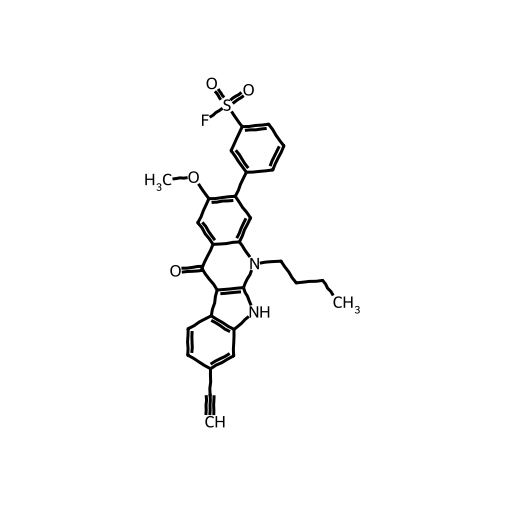 C#Cc1ccc2c(c1)[nH]c1c2c(=O)c2cc(OC)c(-c3cccc(S(=O)(=O)F)c3)cc2n1CCCC